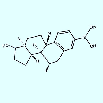 C[C@@H]1Cc2cc(B(O)O)ccc2[C@H]2CC[C@]3(C)[C@@H](O)CC[C@H]3[C@H]12